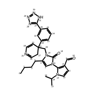 CCCCc1cn(-c2c(C=O)ccn2C(C)C)c(=O)n1CC1(c2cccc(-c3nnn[nH]3)c2)C=CN=CC1